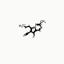 CCCc1c(C#N)c(F)c2cnc(C)nn12